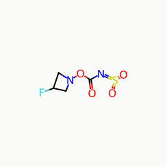 O=C(N=S(=O)=O)ON1CC(F)C1